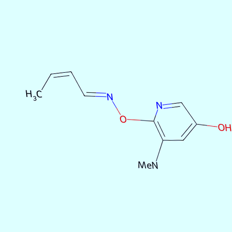 C/C=C\C=NOc1ncc(O)cc1NC